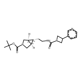 CC(C)(C)OC(=O)N1C[C@@H]2[C@@H](CCNC(=O)N3CC(c4cccnc4)C3)[C@@H]2C1